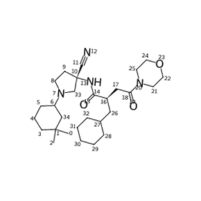 CC1(C)CCCC(N2CC[C@](C#N)(NC(=O)[C@@H](CC(=O)N3CCOCC3)CC3CCCCC3)C2)C1